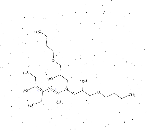 CCCCOCC(O)CN(CC(O)COCCCC)/C(C)=C/C(CC)=C(/O)CC